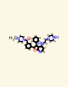 CN1CCN(C(=O)c2cccc(-c3oc4nccc(NCCN5CCNCC5)c4c3-c3ccccc3)c2)CC1